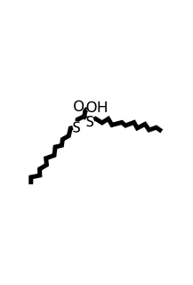 CCCCCCCCCCCCSCC(SCCCCCCCCCCCC)C(=O)O